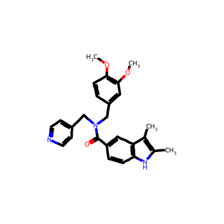 COc1ccc(CN(Cc2ccncc2)C(=O)c2ccc3[nH]c(C)c(C)c3c2)cc1OC